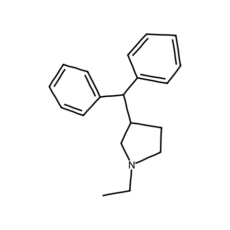 CCN1CCC(C(c2ccccc2)c2ccccc2)C1